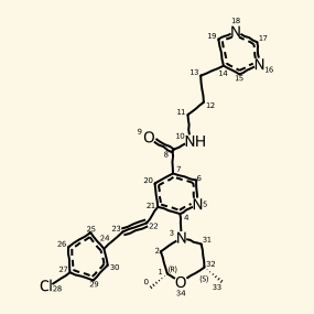 C[C@@H]1CN(c2ncc(C(=O)NCCCc3cncnc3)cc2C#Cc2ccc(Cl)cc2)C[C@H](C)O1